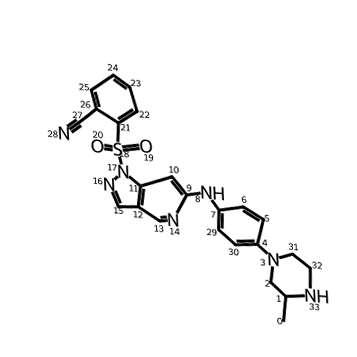 CC1CN(c2ccc(Nc3cc4c(cn3)cnn4S(=O)(=O)c3ccccc3C#N)cc2)CCN1